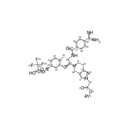 CC(C)OC(=O)Cn1cc2c(n1)CCN(C(=O)[C@H](Cc1ccc([N+](=O)[O-])cc1)NC(=O)c1ccc(C(=N)N)cc1)C2.O=C(O)C(F)(F)F